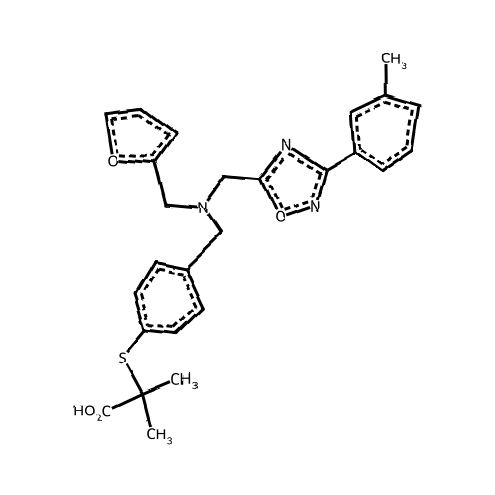 Cc1cccc(-c2noc(CN(Cc3ccc(SC(C)(C)C(=O)O)cc3)Cc3ccco3)n2)c1